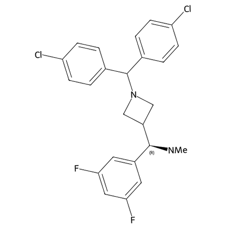 CN[C@@H](c1cc(F)cc(F)c1)C1CN(C(c2ccc(Cl)cc2)c2ccc(Cl)cc2)C1